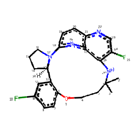 CC1(C)CCOc2ccc(F)cc2[C@H]2CCCN2c2ccc3ncc(F)c(c3n2)N1